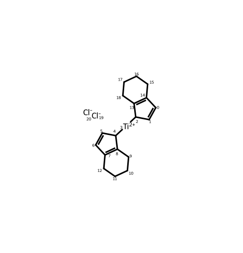 C1=C[CH]([Ti+2][CH]2C=CC3=C2CCCC3)C2=C1CCCC2.[Cl-].[Cl-]